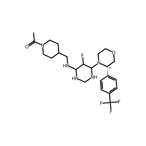 CC(=O)N1CCC(CNC2NCNC(N3CCOC[C@@H]3c3ccc(C(F)(F)F)cc3)C2F)CC1